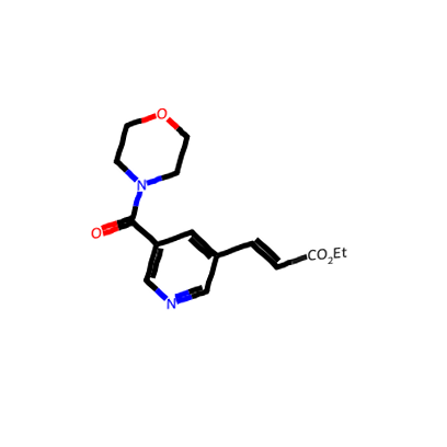 CCOC(=O)/C=C/c1cncc(C(=O)N2CCOCC2)c1